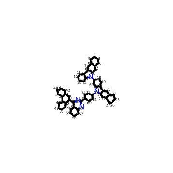 c1ccc2cc3c(cc2c1)c1ccccc1n3-c1ccc2c3cc4ccccc4cc3n(-c3ccc(-c4nc(-c5cc6ccccc6c6ccccc56)c5ccccc5n4)cc3)c2c1